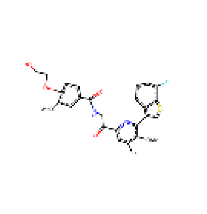 CCc1cc(C(=O)CNC(=O)c2ccc(OCCO)c(OC)c2)nc(-c2csc3c(F)cccc23)c1OC